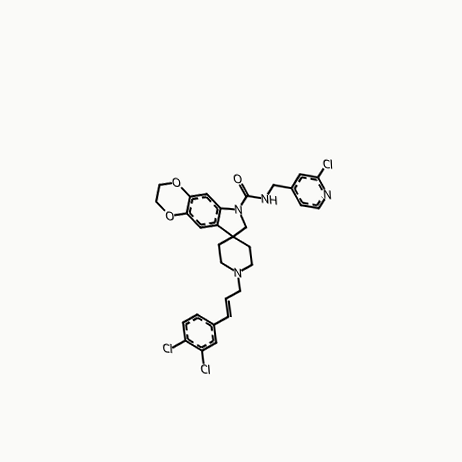 O=C(NCc1ccnc(Cl)c1)N1CC2(CCN(C/C=C/c3ccc(Cl)c(Cl)c3)CC2)c2cc3c(cc21)OCCO3